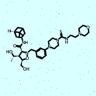 C[C@H](O)[C@@H]1[C@H](CO)ON(Cc2cccc(N3CCN(C(=S)NCCN4CCOCC4)CC3)c2)[C@@H]1C(=O)NC1CC2C[C@H](C1)C2(C)C